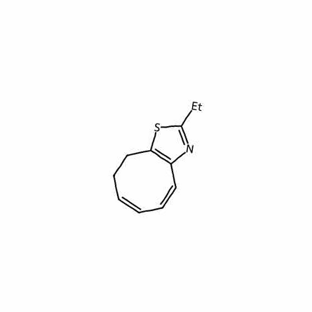 CCc1nc2c(s1)CCC=C/C=C\2